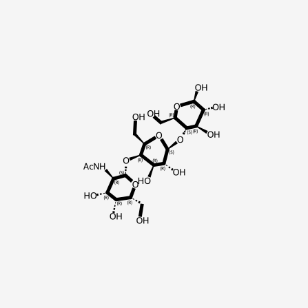 CC(=O)N[C@H]1[C@H](O[C@@H]2[C@H](O)[C@@H](O)[C@H](O[C@H]3[C@H](O)[C@@H](O)[C@H](O)O[C@@H]3CO)O[C@@H]2CO)O[C@H](CO)[C@H](O)[C@@H]1O